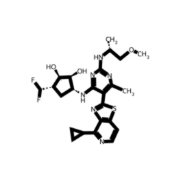 COC[C@@H](C)Nc1nc(C)c(-c2nc3c(C4CC4)nccc3s2)c(N[C@@H]2C[C@H](C(F)F)[C@@H](O)[C@H]2O)n1